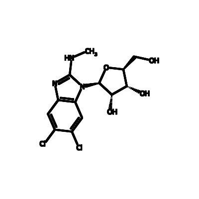 CNc1nc2cc(Cl)c(Cl)cc2n1[C@H]1O[C@@H](CO)[C@H](O)[C@@H]1O